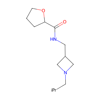 CC(C)CN1CC(CNC(=O)C2CCCO2)C1